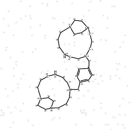 c1cc(CN2CCCN3CCN(CCCNCC2)CC3)ccc1CN1CCCN2CCN(CCCNCC1)CC2